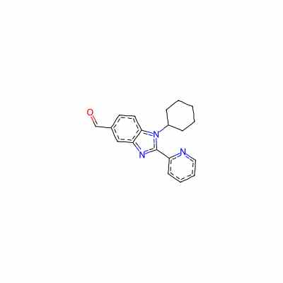 O=Cc1ccc2c(c1)nc(-c1ccccn1)n2C1CCCCC1